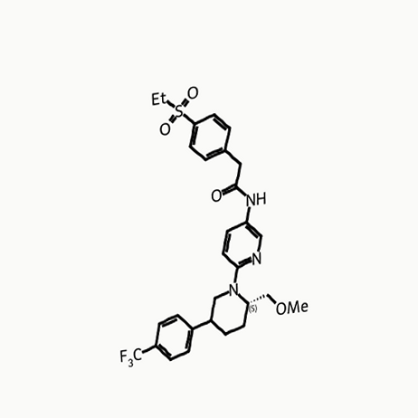 CCS(=O)(=O)c1ccc(CC(=O)Nc2ccc(N3CC(c4ccc(C(F)(F)F)cc4)CC[C@H]3COC)nc2)cc1